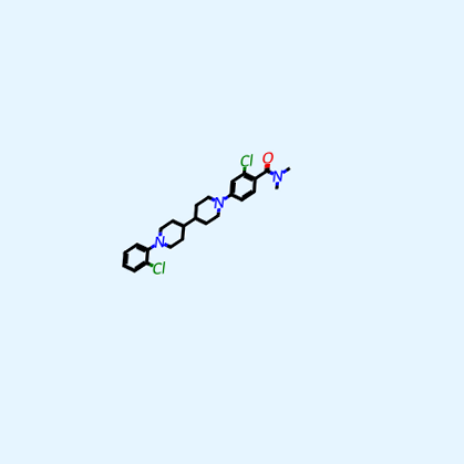 CN(C)C(=O)c1ccc(N2CCC(C3CCN(c4ccccc4Cl)CC3)CC2)cc1Cl